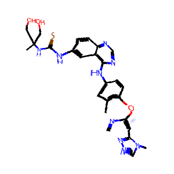 C=N/C(=C\c1nncn1C)Oc1ccc(Nc2ncnc3ccc(NC(=S)NC(C)(CO)CO)cc23)cc1C